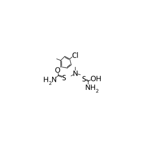 CN(C)C.Cc1cc(Cl)ccc1OC(N)=S.NC(O)=S